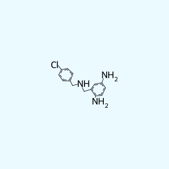 Nc1ccc(N)c(CNCc2ccc(Cl)cc2)c1